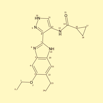 CCOc1cc2nc(-c3n[nH]cc3NC(=O)C3CC3)[nH]c2cc1CC